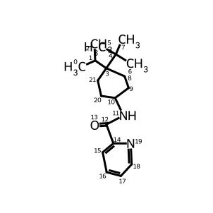 CC(C)C1(C(C)(C)C)CCC(NC(=O)c2ccccn2)CC1